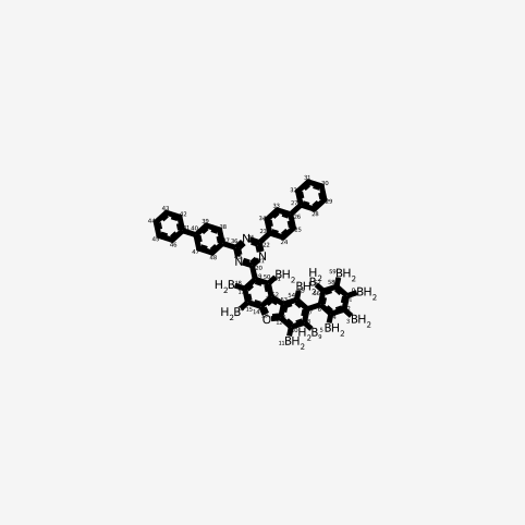 Bc1c(B)c(B)c(-c2c(B)c(B)c3oc4c(B)c(B)c(-c5nc(-c6ccc(-c7ccccc7)cc6)nc(-c6ccc(-c7ccccc7)cc6)n5)c(B)c4c3c2B)c(B)c1B